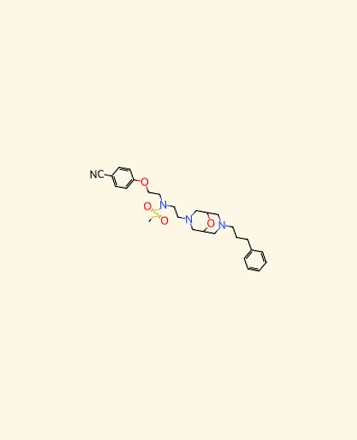 CS(=O)(=O)N(CCOc1ccc(C#N)cc1)CCN1CC2CN(CCCc3ccccc3)CC(C1)O2